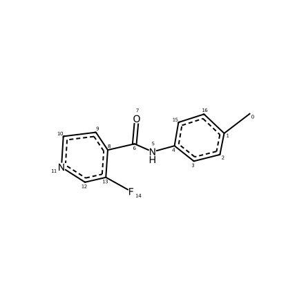 Cc1ccc(NC(=O)c2ccncc2F)cc1